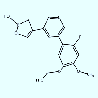 CCOc1cc(-c2cncc(C3=COB(O)C3)c2)c(F)cc1OC